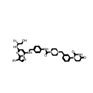 CC[C@@H](CO)Nc1cc(NCc2ccc(NC(=O)N3CCN(Cc4cccc(N5CCC(=O)NC5=O)c4)CC3)cc2)n2ncc(C(C)C)c2n1